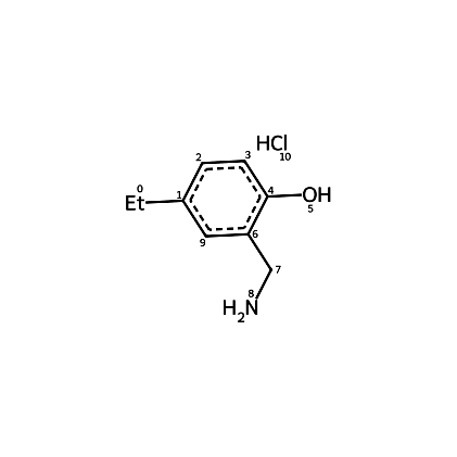 CCc1ccc(O)c(CN)c1.Cl